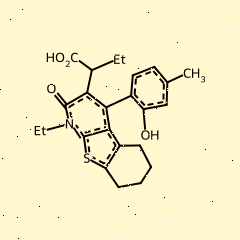 CCC(C(=O)O)c1c(-c2ccc(C)cc2O)c2c3c(sc2n(CC)c1=O)CCCC3